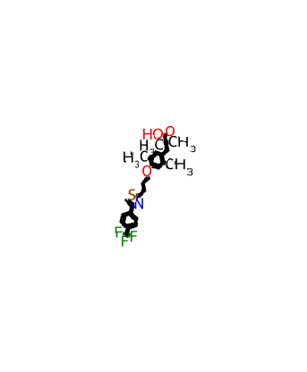 Cc1cc(OCCCc2nc(-c3ccc(C(F)(F)F)cc3)cs2)c(C)cc1CC(C)(C)C(=O)O